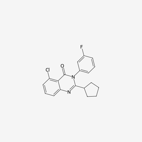 O=c1c2c(Cl)cccc2nc(C2CCCC2)n1-c1cccc(F)c1